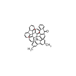 Cc1ccc2c(c1)c1cc(C)ccc1n2C1(c2cccc3c2Cc2ccccc2C3=O)c2ccccc2C2(c3ccccc3-c3ccccc32)c2ccccc21